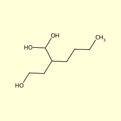 CCCCC(CCO)C(O)O